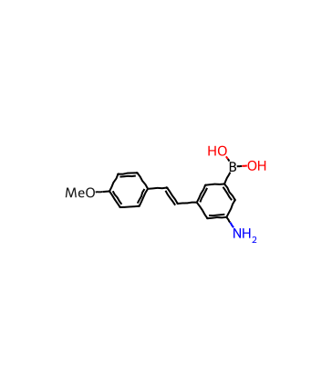 COc1ccc(/C=C/c2cc(N)cc(B(O)O)c2)cc1